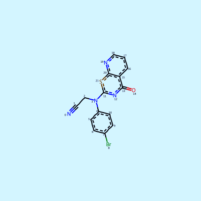 N#CCN(c1ccc(Br)cc1)c1nc(=O)c2cccnc2s1